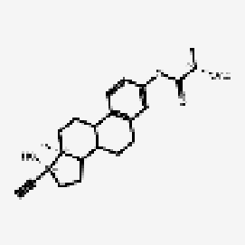 C#C[C@]1(O)CCC2C3CCc4cc(OC(=O)[C@H](C)OC(C)=O)ccc4C3CC[C@@]21C